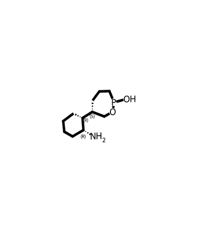 N[C@@H]1CCCC[C@@H]1[C@@H]1CCCP(O)OC1